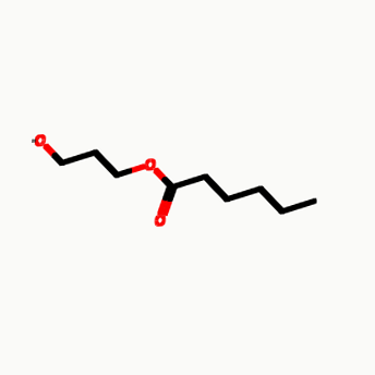 CCCCCC(=O)OCCC[O]